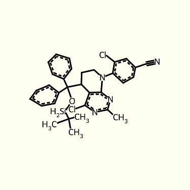 Cc1nc(Cl)c2c(n1)N(c1ccc(C#N)cc1Cl)CCC2C(O[SiH2]C(C)(C)C)(c1ccccc1)c1ccccc1